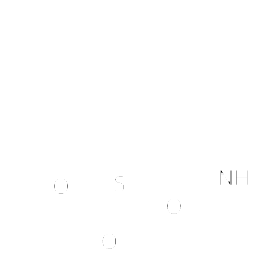 O=S1(=O)ONC=Cc2ccccc21